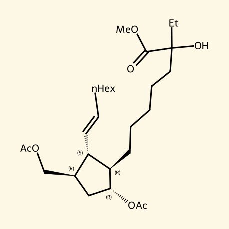 CCCCCCC=C[C@H]1[C@H](COC(C)=O)C[C@@H](OC(C)=O)[C@@H]1CCCCCC(O)(CC)C(=O)OC